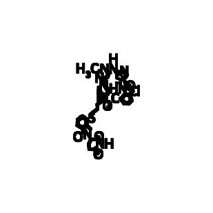 Cc1nc(Nc2ncc(C(=O)Nc3c(C)cccc3Cl)s2)cc(N2CCN(C(=O)CCCSc3cccc4c3CN(C3CCC(=O)NC3=O)C4=O)CC2)n1